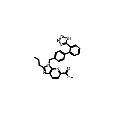 CCCc1nc2ccc(C(=O)O)nc2n1Cc1ccc(-c2ccccc2-c2nnn[nH]2)cc1